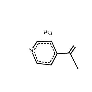 C=C(C)c1ccncc1.Cl